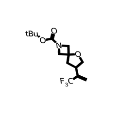 C=C(C1COC2(C1)CN(C(=O)OC(C)(C)C)C2)C(F)(F)F